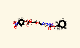 O=C(NSNCCOCCOC(=O)Oc1ccc([N+](=O)[O-])cc1)OC[C@@H]1[C@@H]2CCC#CCC[C@@H]21